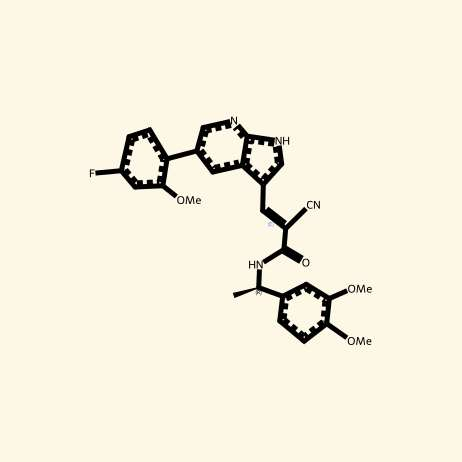 COc1ccc([C@@H](C)NC(=O)/C(C#N)=C/c2c[nH]c3ncc(-c4ccc(F)cc4OC)cc23)cc1OC